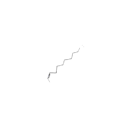 CC/C=C\CCCCCCCC#N